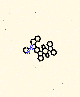 c1ccc(-n2c3cc4c(cc3c3c5ccccc5ccc32)C2(c3ccccc3-4)c3ccccc3C3(c4ccccc4-c4ccccc43)c3ccccc32)nc1